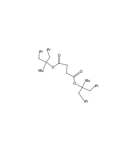 CC(C)CC(CC(C)C)(OC(=O)CCC(=O)OC(CC(C)C)(CC(C)C)C(C)(C)C)C(C)(C)C